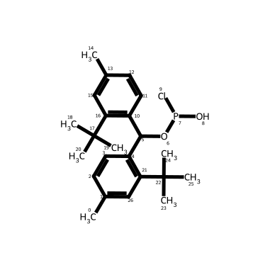 Cc1ccc(C(OP(O)Cl)c2ccc(C)cc2C(C)(C)C)c(C(C)(C)C)c1